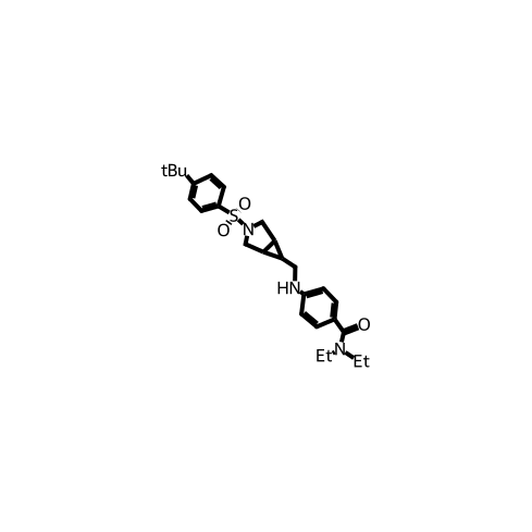 CCN(CC)C(=O)c1ccc(NCC2C3CN(S(=O)(=O)c4ccc(C(C)(C)C)cc4)CC23)cc1